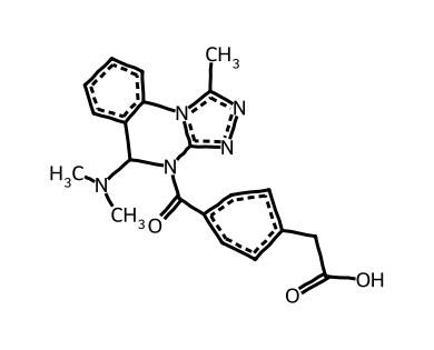 Cc1nnc2n1-c1ccccc1C(N(C)C)N2C(=O)c1ccc(CC(=O)O)cc1